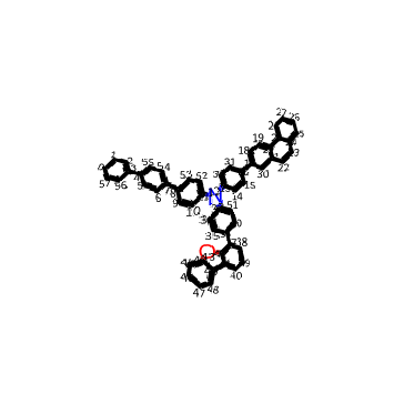 c1ccc(-c2ccc(-c3ccc(N(c4ccc(-c5ccc6c(ccc7ccccc76)c5)cc4)c4ccc(-c5cccc6c5oc5ccccc56)cc4)cc3)cc2)cc1